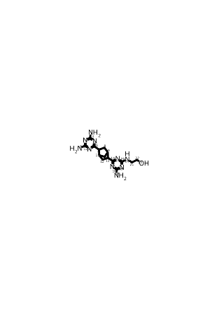 Nc1nc(N)nc(C2CC3CC2CC3c2nc(N)nc(NCCO)n2)n1